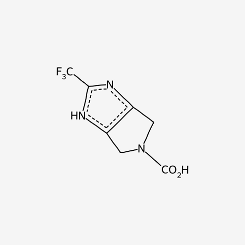 O=C(O)N1Cc2nc(C(F)(F)F)[nH]c2C1